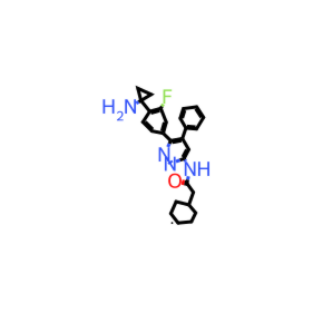 NC1(c2ccc(-c3nnc(NC(=O)CC4CC[CH]CC4)cc3-c3ccccc3)cc2F)CC1